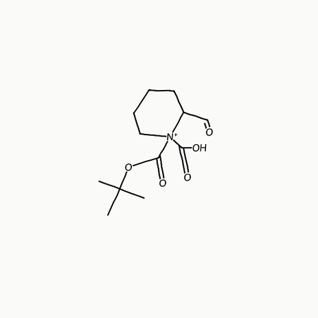 CC(C)(C)OC(=O)[N+]1(C(=O)O)CCCCC1C=O